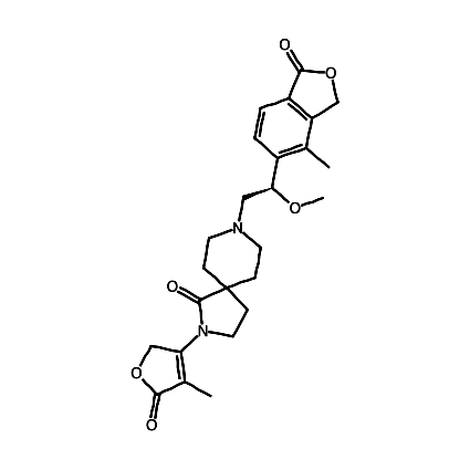 CO[C@@H](CN1CCC2(CC1)CCN(C1=C(C)C(=O)OC1)C2=O)c1ccc2c(c1C)COC2=O